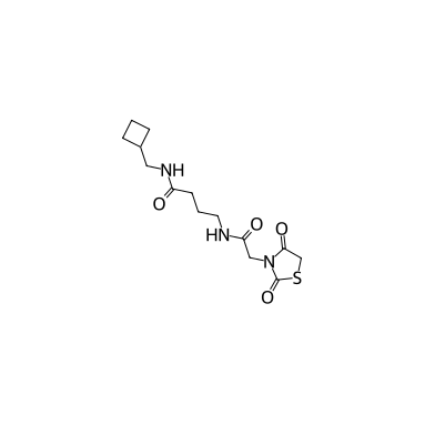 O=C(CCCNC(=O)CN1C(=O)CSC1=O)NCC1CCC1